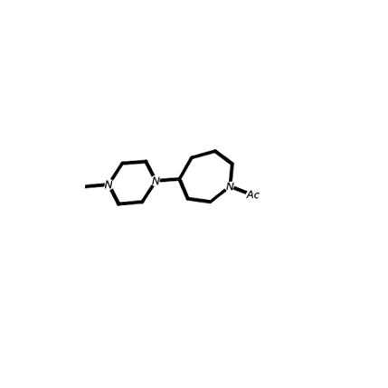 CC(=O)N1CCCC(N2CCN(C)CC2)CC1